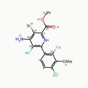 COc1c(Cl)ccc(-c2nc(C(=O)OC(C)C)c(Br)c(N)c2F)c1F